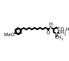 COc1ccc(CCCCCCCCCC(=O)NC(CC(=O)O)CN(C)C)cc1